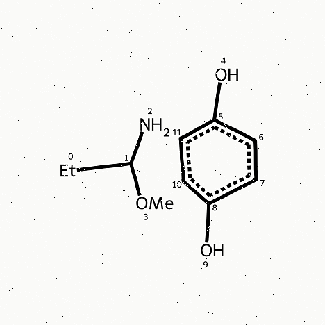 CCC(N)OC.Oc1ccc(O)cc1